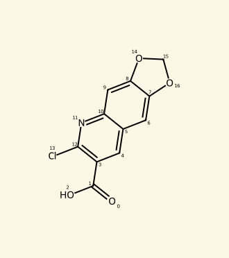 O=C(O)c1cc2cc3c(cc2nc1Cl)OCO3